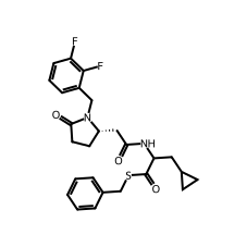 O=C(C[C@@H]1CCC(=O)N1Cc1cccc(F)c1F)NC(CC1CC1)C(=O)SCc1ccccc1